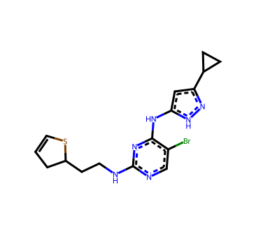 Brc1cnc(NCCC2CC=CS2)nc1Nc1cc(C2CC2)n[nH]1